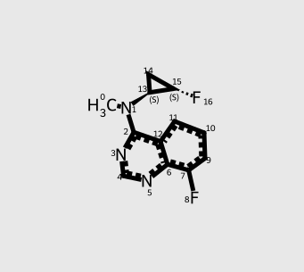 CN(c1ncnc2c(F)cccc12)[C@H]1C[C@@H]1F